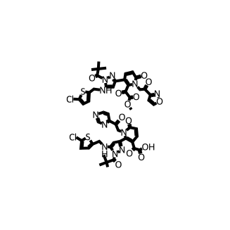 CC(C)(C)C(=O)n1nc(-c2c(C(=O)C(=O)O)ccc(=O)n2CC(=O)c2ccncn2)cc1NCc1ccc(Cl)s1.COC(=O)C(=O)c1c(-c2cc(NCc3ccc(Cl)s3)n(C(=O)C(C)(C)C)n2)ccc(=O)n1CC(=O)c1ccon1